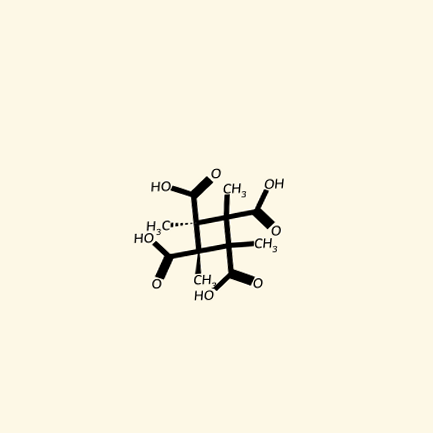 CC1(C(=O)O)C(C)(C(=O)O)[C@](C)(C(=O)O)[C@@]1(C)C(=O)O